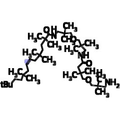 CC(C)(C)CCC(C)(C)C/C=C\CC(C)(C)CCC(C)(C)C(=O)NCC(C)(C)COCC(C)(C)CNC(=O)CC(C)(C)COCC(C)(C)CN